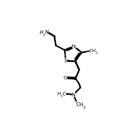 Cc1nc(CCN)sc1CC(=O)CN(C)C